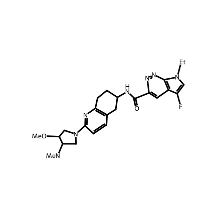 CCn1cc(F)c2cc(C(=O)NC3CCc4nc(N5CC(NC)C(OC)C5)ccc4C3)nnc21